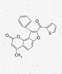 Cc1cc(=O)oc2c1ccc1oc(C(=O)c3cccs3)c(-c3ccccc3)c12